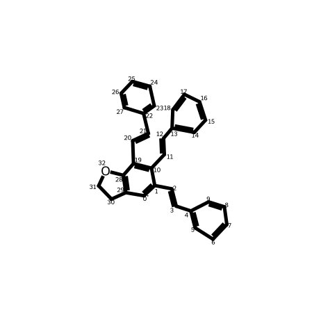 [c]1c(C=Cc2ccccc2)c(C=Cc2ccccc2)c(C=Cc2ccccc2)c2c1CCO2